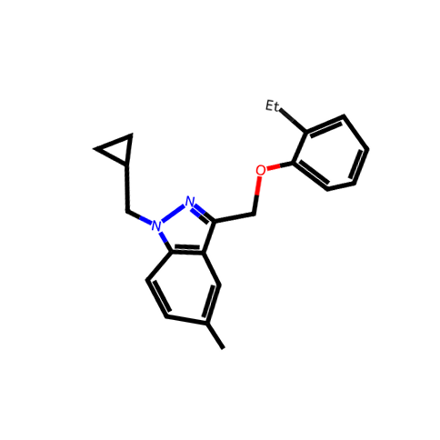 CCc1ccccc1OCc1nn(CC2CC2)c2ccc(C)cc12